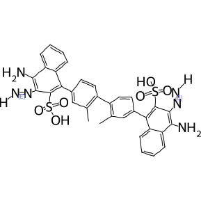 [H]/N=N/c1c(S(=O)(=O)O)c(-c2ccc(-c3ccc(-c4c(S(=O)(=O)O)c(/N=N/[H])c(N)c5ccccc45)cc3C)c(C)c2)c2ccccc2c1N